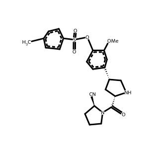 COc1cc([C@@H]2CN[C@H](C(=O)N3CCC[C@H]3C#N)C2)ccc1OS(=O)(=O)c1ccc(C)cc1